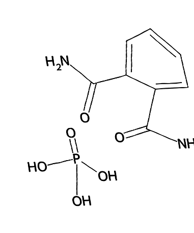 NC(=O)c1ccccc1C(N)=O.O=P(O)(O)O